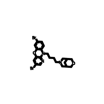 Brc1ccc2c(c1)Oc1cc(Br)cnc1N2CCCCN1CC2COCC(C2)C1